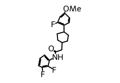 COc1ccc(C2CCC(CC(=O)Nc3cccc(F)c3F)CC2)c(F)c1